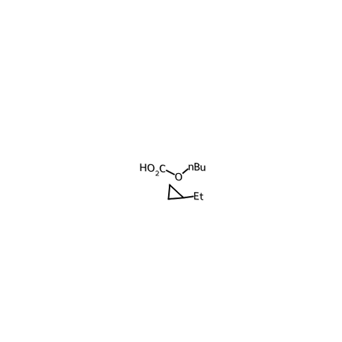 CCC1CC1.CCCCOC(=O)O